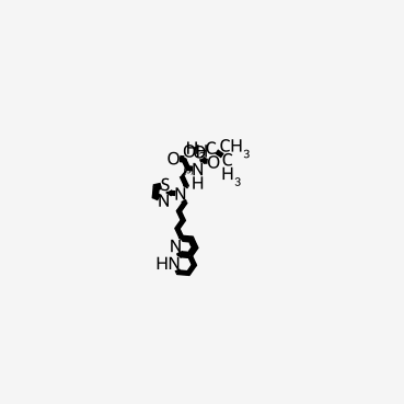 CC(C)(C)OC(=O)N[C@@H](CCN(CCCCc1ccc2c(n1)NCCC2)c1nccs1)C(=O)O